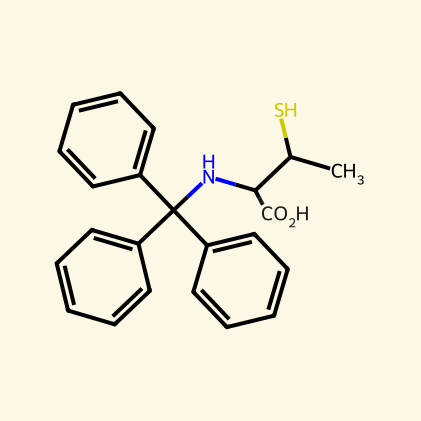 CC(S)C(NC(c1ccccc1)(c1ccccc1)c1ccccc1)C(=O)O